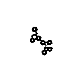 c1ccc(CC2CCc3ccccc3-c3cc(-c4ccc5c(c4)c4ccccc4n5-c4cc5ccccc5c5ccccc45)ccc32)cc1